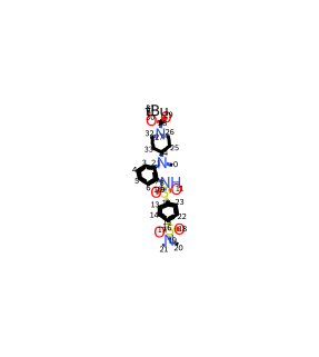 CN(c1ccccc1NS(=O)(=O)c1ccc(S(=O)(=O)N(C)C)cc1)C1CCN(C(=O)OC(C)(C)C)CC1